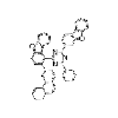 C1=Cc2c(ccc3ccc(-c4ccc5oc6ccccc6c5c4-c4nc(-c5ccccc5)nc(-c5ccc6c(c5)oc5ccccc56)n4)cc23)CC1